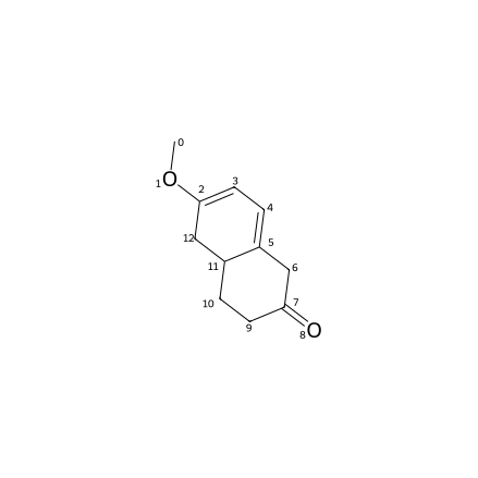 COC1=CC=C2CC(=O)CCC2C1